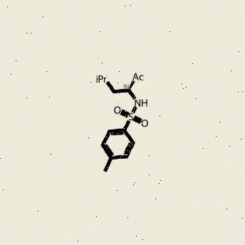 CC(=O)[C@H](CC(C)C)NS(=O)(=O)c1ccc(C)cc1